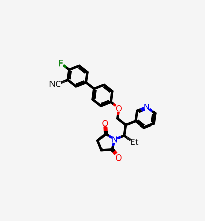 CCC(C(COc1ccc(-c2ccc(F)c(C#N)c2)cc1)c1cccnc1)N1C(=O)CCC1=O